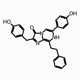 O=c1c(Cc2ccc(O)cc2)nc2c(CCc3ccccc3)[nH]c(-c3ccc(O)cc3)cn1-2